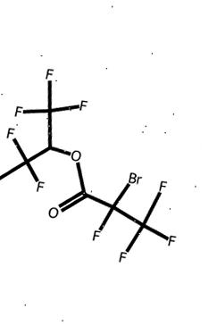 O=C(OC(C(F)(F)F)C(F)(F)F)C(F)(Br)C(F)(F)F